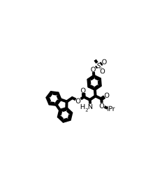 CC(C)OC(=O)C(c1ccc(OS(C)(=O)=O)cc1)C(N)C(=O)OCC1c2ccccc2-c2ccccc21